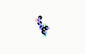 O=C(N1CCCC1)N1CCN(c2cnc(-c3ccc(C(F)(F)F)nc3)c(-c3ccncc3Cl)n2)CC1